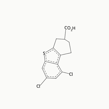 O=C(O)C1CCc2c(sc3cc(Cl)cc(Cl)c23)C1